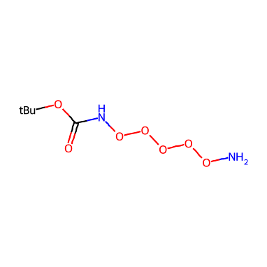 CC(C)(C)OC(=O)NOOOOON